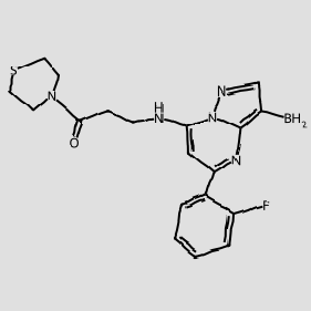 Bc1cnn2c(NCCC(=O)N3CCSCC3)cc(-c3ccccc3F)nc12